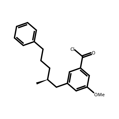 COc1cc(C[C@@H](C)CCCc2ccccc2)cc(C(=O)Cl)c1